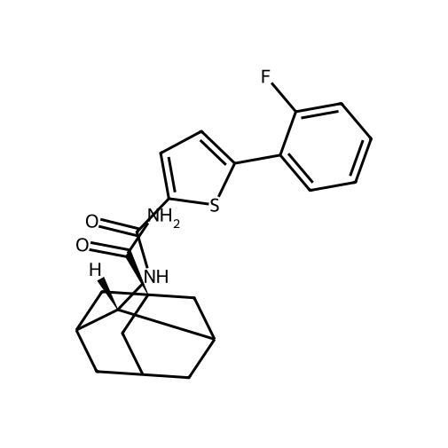 NC(=O)[C@]12CC3CC(C1)[C@@H](NC(=O)c1ccc(-c4ccccc4F)s1)C(C3)C2